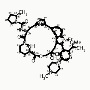 CCn1c(-c2cc(N3CCN(C)CC3)cnc2[C@H](C)OC)c2c3cc(ccc31)-c1csc(n1)C[C@H](NC(=O)N1CCC[C@H]1C)C(=O)N1CCC[C@H](N1)C(=O)OCC(C)(C)C2